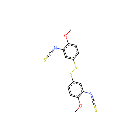 COc1ccc(SSc2ccc(OC)c(N=C=S)c2)cc1N=C=S